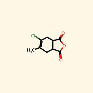 CC1=C(Cl)CC2C(=O)OC(=O)C2C1